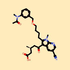 CC(=O)N(C)c1cccc(COCCCCc2c(C(=O)C[C@H](C)CC(=O)O)c3cc(C#N)cnc3n2C)c1